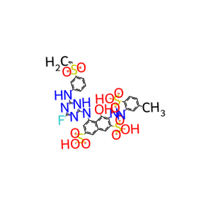 C=CS(=O)(=O)c1cccc(Nc2nc(F)nc(Nc3cc(S(=O)(=O)O)cc4cc(S(=O)(=O)O)c(N=Nc5cc(C)ccc5S(=O)(=O)O)c(O)c34)n2)c1